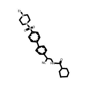 CCN1CCN(S(=O)(=O)c2ccc(-c3ccc(C(C#N)CNC(=O)C4CCCCC4)cc3)cc2)CC1